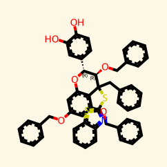 Oc1ccc([C@H]2Oc3cc(OCc4ccccc4)cc(OCc4ccccc4)c3C(Cc3ccccc3)(Sc3nc4ccccc4s3)[C@@H]2OCc2ccccc2)cc1O